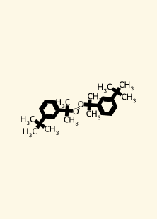 CC(C)(C)c1cccc(C(C)(C)OOC(C)(C)c2cccc(C(C)(C)C)c2)c1